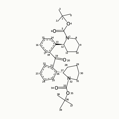 CC(C)(C)OC(=O)N1CCCC[C@H]1c1ccccc1C(=O)c1ccccc1[C@@H]1CCCCN1C(=O)OC(C)(C)C